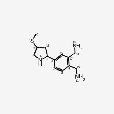 CSC1CNC(c2ccc(CN)c(CN)c2)C1